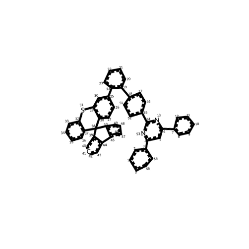 c1ccc(-c2cc(-c3ccccc3)nc(-c3ccc(-c4ccccc4-c4ccc5c(c4)Sc4ccccc4C54c5ccccc5-c5ccccc54)cc3)n2)cc1